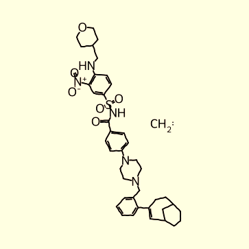 O=C(NS(=O)(=O)c1ccc(NCC2CCOCC2)c([N+](=O)[O-])c1)c1ccc(N2CCN(Cc3ccccc3C3=CC4CCCC(CC3)C4)CC2)cc1.[CH2]